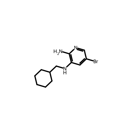 Nc1ncc(Br)cc1NCC1CCCCC1